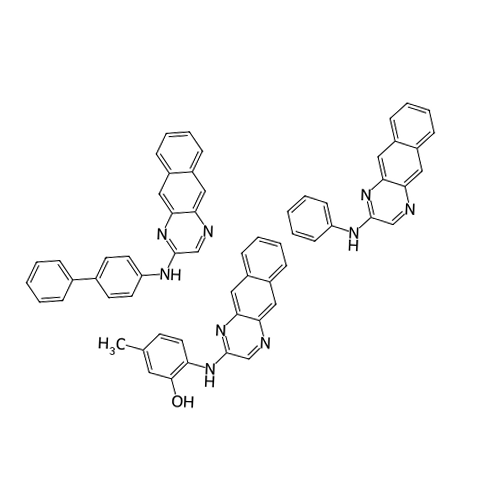 Cc1ccc(Nc2cnc3cc4ccccc4cc3n2)c(O)c1.c1ccc(-c2ccc(Nc3cnc4cc5ccccc5cc4n3)cc2)cc1.c1ccc(Nc2cnc3cc4ccccc4cc3n2)cc1